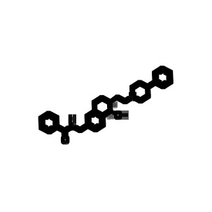 O=C(NCc1ccc2c(c1)CC[C@@H](CCN1CCC(c3ccccc3)CC1)[C@@H]2O)c1ccccc1